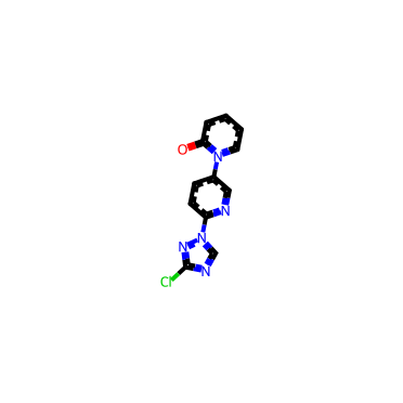 O=c1ccccn1-c1ccc(-n2cnc(Cl)n2)nc1